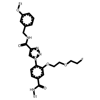 CCNC(=O)c1ccc(-n2cc(C(=O)NCc3cccc(OCC)c3)nn2)c(OCCOCCF)c1